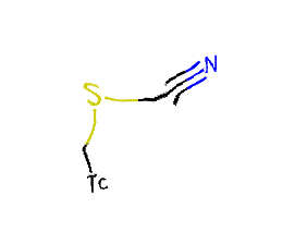 N#C[S][Tc]